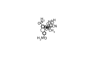 CNC(=N)C1(C[C@H](C)NCC(=O)N2[C@H](C#N)C[C@@H]3C[C@@H]32)c2ccc(C(N)=O)cc2CCc2cc(C(N)=O)ccc21